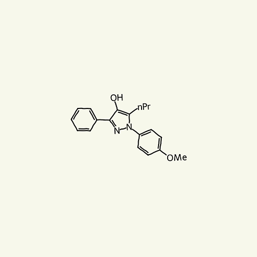 CCCc1c(O)c(-c2ccccc2)nn1-c1ccc(OC)cc1